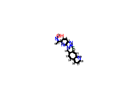 C/C(=N/O)c1ccc2nnn(CC3C=Cc4cccnc4C=C3F)c2n1